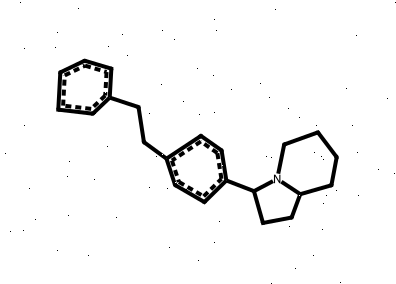 c1ccc(CCc2ccc(C3CCC4CCCCN43)cc2)cc1